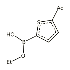 CCOB(O)c1ccc(C(C)=O)s1